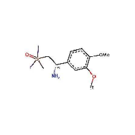 CCOc1cc([C@H](N)CS(C)(=O)(I)I)ccc1OC